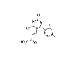 Cc1ccc(-c2cc(Cl)nc(Cl)c2/C=C/C(=O)C(=O)O)c(F)c1